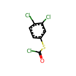 O=C(Cl)Sc1ccc(Cl)c(Cl)c1